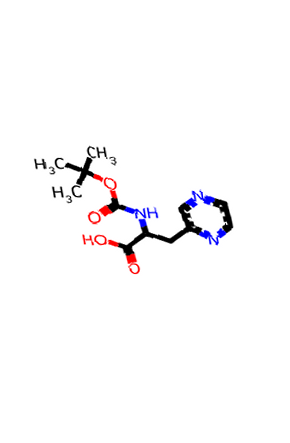 CC(C)(C)OC(=O)NC(Cc1cnccn1)C(=O)O